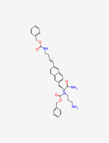 NCCCN(C(=O)OCc1ccccc1)[C@@H](Cc1ccc2cc(/C=C/CCNC(=O)OCc3ccccc3)ccc2c1)C(N)=O